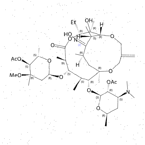 C=C1CO[C@@H]2[C@@H](C)/C(=N\O)[C@H](C)C[C@@](C)(OC1)[C@H](O[C@@H]1O[C@H](C)C[C@H](N(C)C)[C@H]1OC(C)=O)[C@@H](C)[C@H](O[C@H]1C[C@@](C)(OC)[C@@H](OC(C)=O)[C@H](C)O1)[C@@H](C)C(=O)O[C@H](CC)[C@@]2(C)O